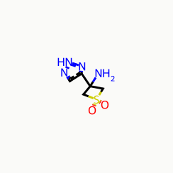 NC1(c2cn[nH]n2)CS(=O)(=O)C1